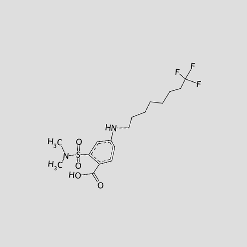 CN(C)S(=O)(=O)c1cc(NCCCCCCCC(F)(F)F)ccc1C(=O)O